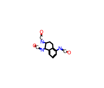 O=C=Nc1cccc2c1CCC(N=C=O)C2N=C=O